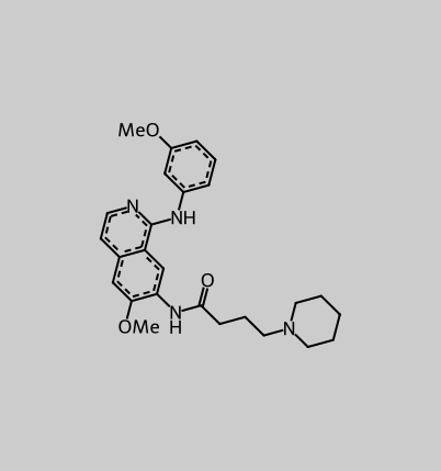 COc1cccc(Nc2nccc3cc(OC)c(NC(=O)CCCN4CCCCC4)cc23)c1